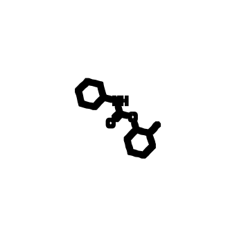 CC1CCCCC1OC(=O)NC1CCCCC1